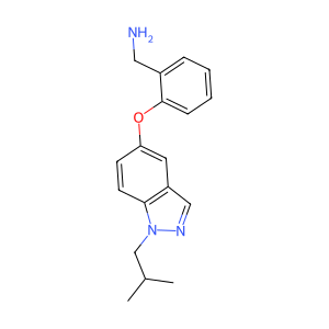 CC(C)Cn1ncc2cc(Oc3ccccc3CN)ccc21